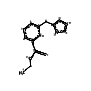 CCOC(=O)c1cccc(Cc2cscn2)n1